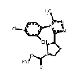 Cc1cc(Cl)ccc1-n1c(C)nnc1C1CCN(C(=O)OC(C)(C)C)C1